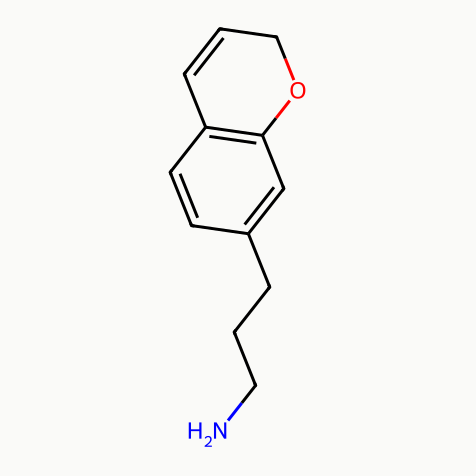 NCCCc1ccc2c(c1)OCC=C2